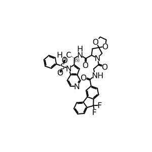 C[C@H](NC(=O)C1CC2(CN1C(=O)CNC(=O)c1ccc3c(c1)-c1ccccc1C3(F)F)OCCO2)c1cc2cnccc2n1S(=O)(=O)c1ccccc1